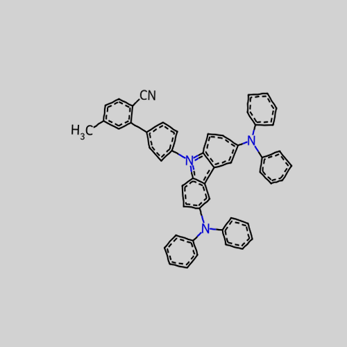 Cc1ccc(C#N)c(-c2ccc(-n3c4ccc(N(c5ccccc5)c5ccccc5)cc4c4cc(N(c5ccccc5)c5ccccc5)ccc43)cc2)c1